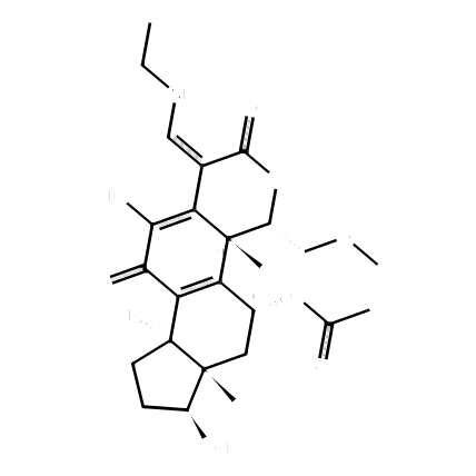 CCN/C=C1\C(=O)O[C@H](COC)[C@@]2(C)C1=C(O)C(=O)C1=C2[C@H](OC(C)=O)C[C@]2(C)[C@@H](O)CC[C@@H]12